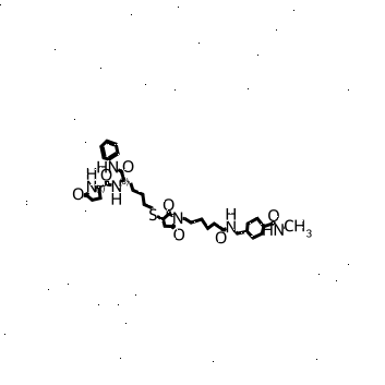 CNC(=O)C1CCC(CNC(=O)CCCCCN2C(=O)CC(SCCCCC[C@H](NC(=O)[C@H]3CCC(=O)N3)C(=O)Nc3ccccc3)C2=O)CC1